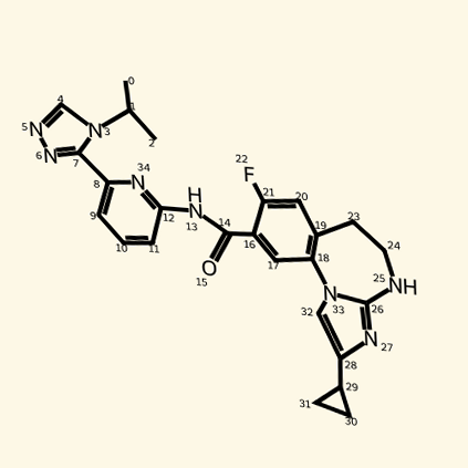 CC(C)n1cnnc1-c1cccc(NC(=O)c2cc3c(cc2F)CCNc2nc(C4CC4)cn2-3)n1